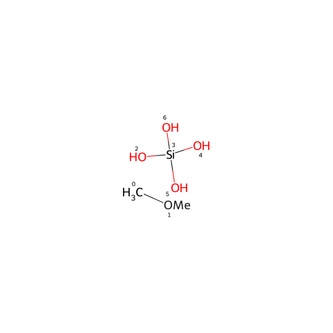 COC.O[Si](O)(O)O